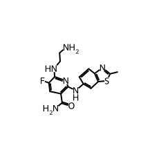 Cc1nc2ccc(Nc3nc(NCCN)c(F)cc3C(N)=O)cc2s1